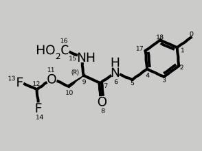 Cc1ccc(CNC(=O)[C@@H](COC(F)F)NC(=O)O)cc1